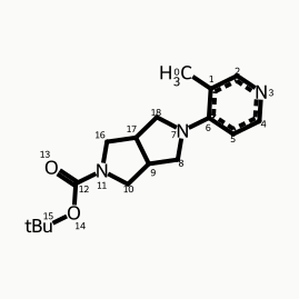 Cc1cnccc1N1CC2CN(C(=O)OC(C)(C)C)CC2C1